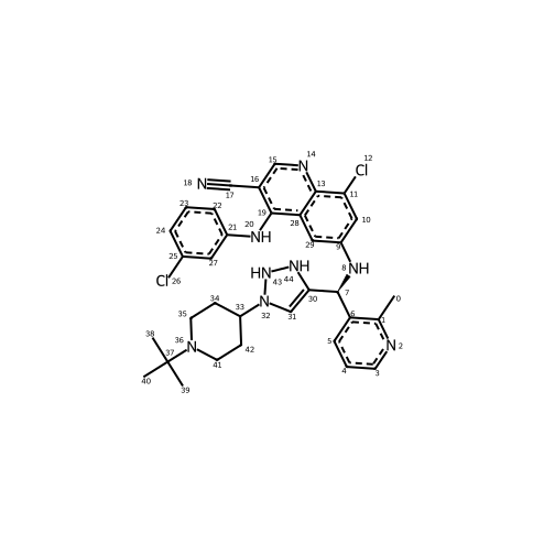 Cc1ncccc1[C@H](Nc1cc(Cl)c2ncc(C#N)c(Nc3cccc(Cl)c3)c2c1)C1=CN(C2CCN(C(C)(C)C)CC2)NN1